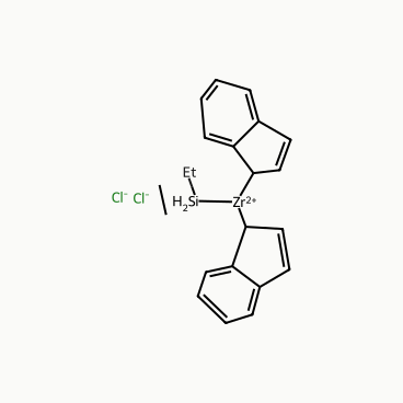 CC.CC[SiH2][Zr+2]([CH]1C=Cc2ccccc21)[CH]1C=Cc2ccccc21.[Cl-].[Cl-]